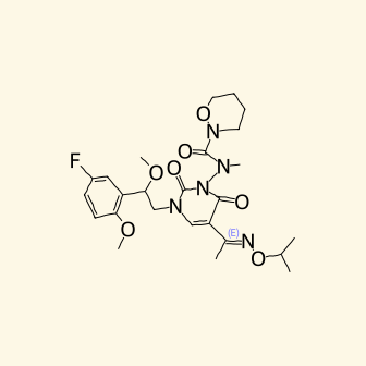 COc1ccc(F)cc1C(Cn1cc(/C(C)=N/OC(C)C)c(=O)n(N(C)C(=O)N2CCCCO2)c1=O)OC